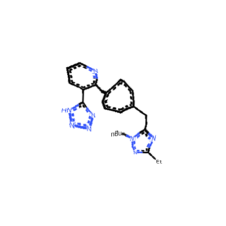 CCCCn1nc(CC)nc1Cc1ccc(-c2ncccc2-c2nnn[nH]2)cc1